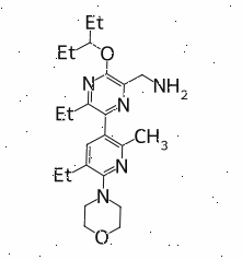 CCc1cc(-c2nc(CN)c(OC(CC)CC)nc2CC)c(C)nc1N1CCOCC1